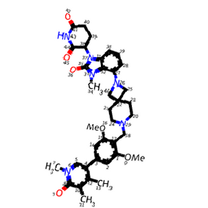 COc1cc(-c2cn(C)c(=O)c(C)c2C)cc(OC)c1CN1CCC2(CC1)CN(c1cccc3c1n(C)c(=O)n3C1CCC(=O)NC1=O)C2